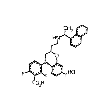 C[C@@H](NCCC1CN(c2ccc(F)c(C(=O)O)c2F)c2ccc(F)cc2O1)c1cccc2ccccc12.Cl